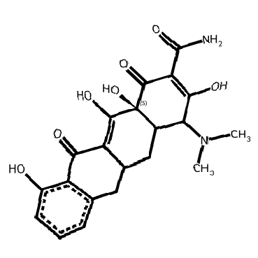 CN(C)C1C(O)=C(C(N)=O)C(=O)[C@@]2(O)C(O)=C3C(=O)c4c(O)cccc4CC3CC12